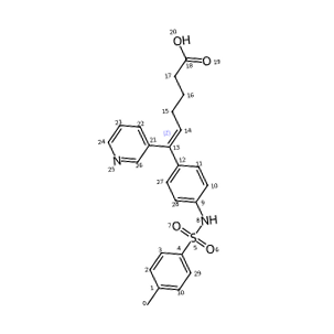 Cc1ccc(S(=O)(=O)Nc2ccc(/C(=C/CCCC(=O)O)c3cccnc3)cc2)cc1